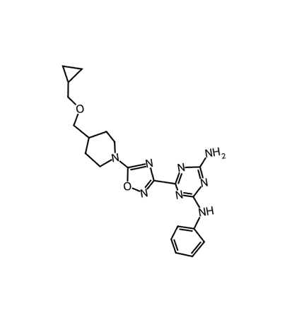 Nc1nc(Nc2ccccc2)nc(-c2noc(N3CCC(COCC4CC4)CC3)n2)n1